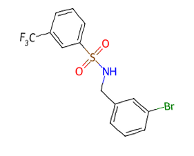 O=S(=O)(NCc1cccc(Br)c1)c1cccc(C(F)(F)F)c1